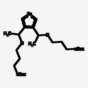 CCCCCCCCCCCCCOC(C)c1c[se]cc1C(C)OCCCCCCCCCCCCC